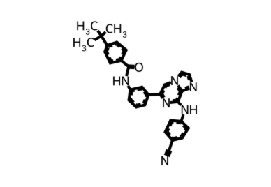 CC(C)(C)c1ccc(C(=O)Nc2cccc(-c3cn4ccnc4c(Nc4ccc(C#N)cc4)n3)c2)cc1